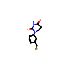 O=C1CCN(c2cccc(CBr)c2)C(=O)N1